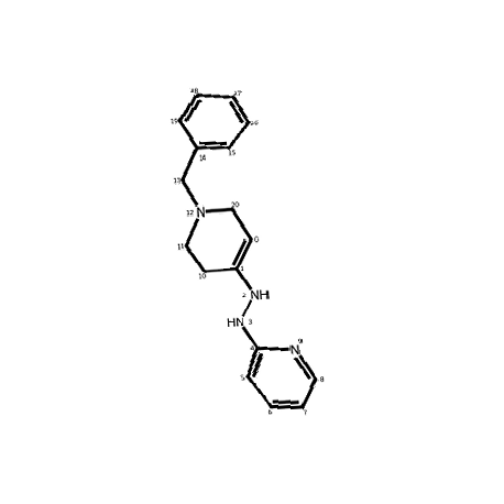 C1=C(NNc2ccccn2)CCN(Cc2ccccc2)C1